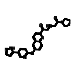 O=C(CNCC(=O)N1CCCC1)c1ccc2cc(Oc3ccc(-c4ccn[nH]4)cn3)ccc2n1